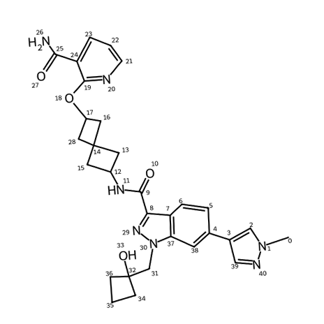 Cn1cc(-c2ccc3c(C(=O)NC4CC5(C4)CC(Oc4ncccc4C(N)=O)C5)nn(CC4(O)CCC4)c3c2)cn1